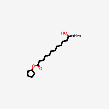 CCCCCCC(O)CCCCCCCCCCC(=O)OC1CCCC1